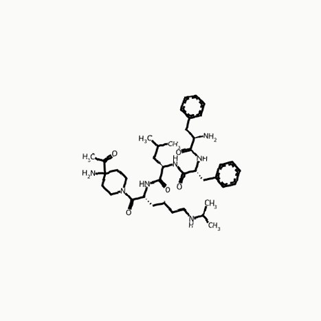 CC(=O)C1(N)CCN(C(=O)[C@@H](CCCCNC(C)C)NC(=O)[C@@H](CC(C)C)NC(=O)[C@@H](Cc2ccccc2)NC(=O)[C@H](N)Cc2ccccc2)CC1